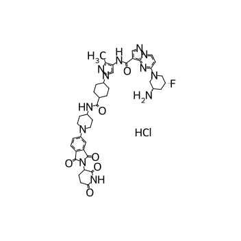 Cc1nn(C2CCC(C(=O)NC3CCN(c4ccc5c(c4)C(=O)N(C4CCC(=O)NC4=O)C5=O)CC3)CC2)cc1NC(=O)c1cnn2ccc(N3C[C@H](N)C[C@@H](F)C3)nc12.Cl